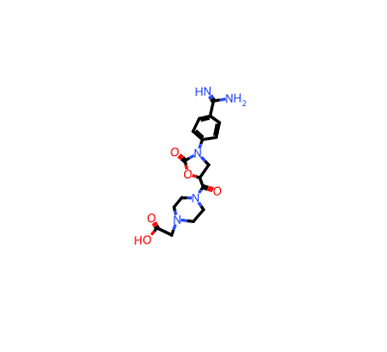 N=C(N)c1ccc(N2CC(C(=O)N3CCN(CC(=O)O)CC3)OC2=O)cc1